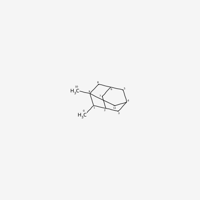 CC1C2CC3CC(C2)CC1(C)C3